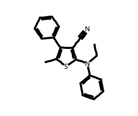 CCN(c1ccccc1)c1sc(C)c(-c2ccccc2)c1C#N